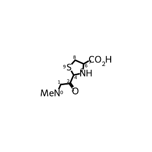 CNCC(=O)C1NC(C(=O)O)CS1